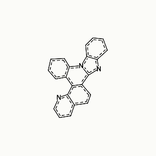 c1cnc2c(c1)ccc1c2c2ccccc2n2c3ccccc3nc12